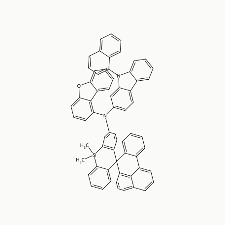 C[Si]1(C)c2ccccc2C2(c3ccccc3-c3cccc4cccc2c34)c2ccc(N(c3ccc4c5ccccc5n(-c5cccc6ccccc56)c4c3)c3cccc4oc5ccccc5c34)cc21